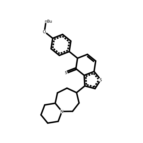 CCCCOc1ccc(C2C=Cc3scc(C4CCC5CCCCN5CC4)c3C2=S)cc1